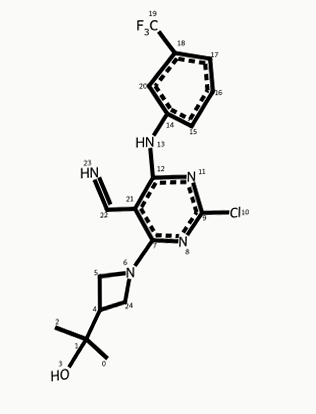 CC(C)(O)C1CN(c2nc(Cl)nc(Nc3cccc(C(F)(F)F)c3)c2C=N)C1